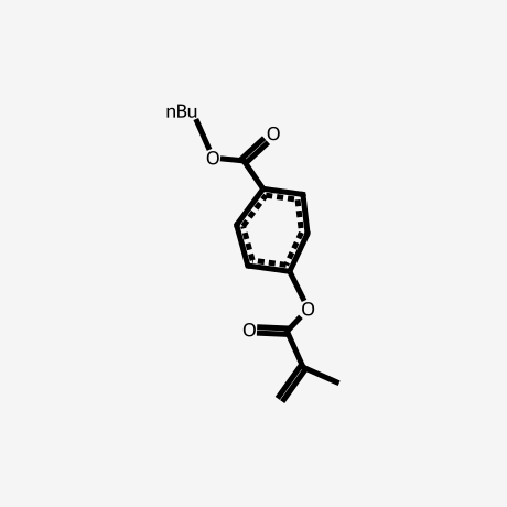 C=C(C)C(=O)Oc1ccc(C(=O)OCCCC)cc1